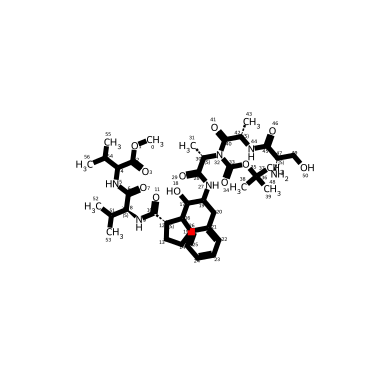 COC(=O)C(NC(=O)[C@@H](NC(=O)[C@H]1CCCC1C(O)C(Cc1ccccc1)NC(=O)[C@H](C)N(C(=O)OC(C)(C)C)C(=O)[C@H](C)NC(=O)[C@@H](N)CO)C(C)C)C(C)C